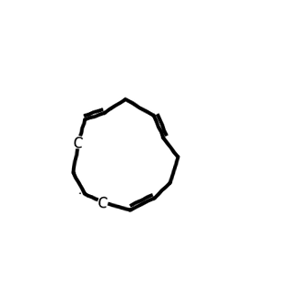 [CH]1C/C=C\CC/C=C/C/C=C\CC1